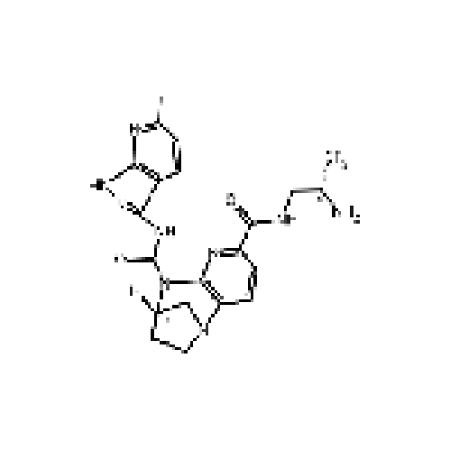 Cc1ccc2c(NC(=O)N3c4nc(C(=O)NC[C@@H](N)C(F)(F)F)ccc4N4CC[C@H]3C4)n[nH]c2n1